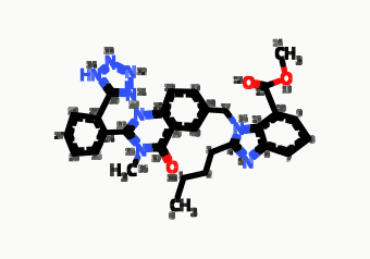 CCCCc1nc2cccc(C(=O)OC)c2n1Cc1ccc2nc(-c3ccccc3-c3nnn[nH]3)n(C)c(=O)c2c1